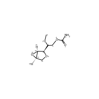 COC(COC(N)=O)[C@H]1OC[C@H]2O[C@@H]12